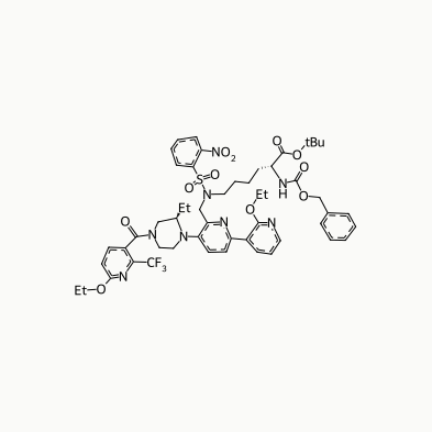 CCOc1ccc(C(=O)N2CCN(c3ccc(-c4cccnc4OCC)nc3CN(CCCC[C@@H](NC(=O)OCc3ccccc3)C(=O)OC(C)(C)C)S(=O)(=O)c3ccccc3[N+](=O)[O-])[C@H](CC)C2)c(C(F)(F)F)n1